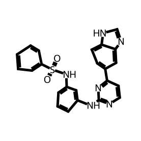 O=S(=O)(Nc1cccc(Nc2nccc(-c3ccc4[nH]cnc4c3)n2)c1)c1ccccc1